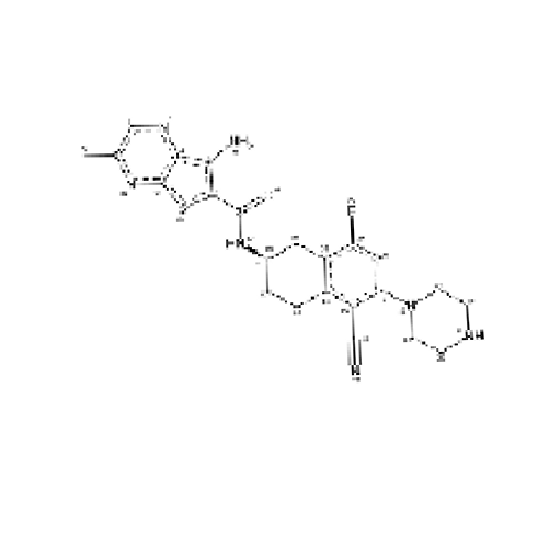 Cc1cnc2c(N)c(C(=O)N[C@@H]3CCc4c(C#N)c(N5CCNCC5)cc(F)c4C3)sc2n1